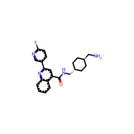 NC[C@H]1CC[C@H](CNC(=O)c2cc(-c3ccc(F)nc3)nc3ccccc23)CC1